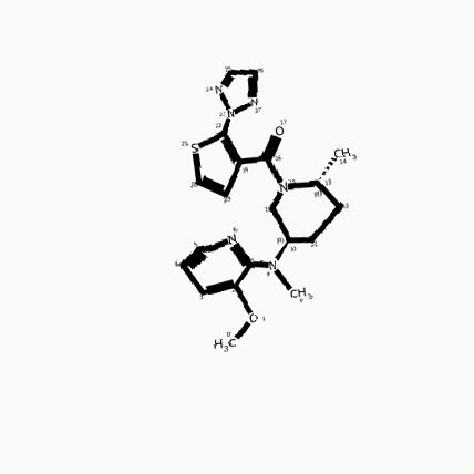 COc1cccnc1N(C)[C@@H]1CC[C@@H](C)N(C(=O)c2ccsc2-n2nccn2)C1